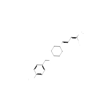 CCCc1ccc(CO[C@H]2CC[C@H](/C=C/C=C(\F)C#N)CC2)cc1